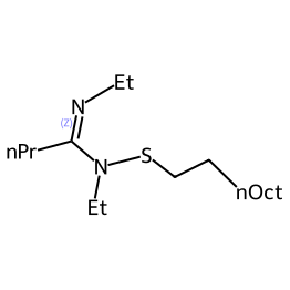 CCCCCCCCCCSN(CC)/C(CCC)=N\CC